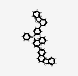 C1=CC(c2ccc(N(c3ccccc3)c3ccc(-c4ccc5c(ccc6oc7ccccc7c65)c4)c4ccccc34)cc2)C2Oc3ccccc3C2=C1